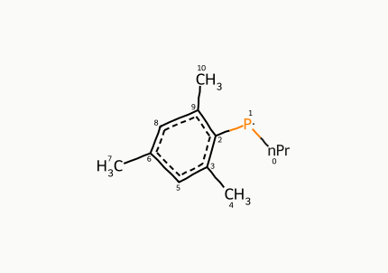 CCC[P]c1c(C)cc(C)cc1C